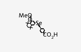 COCOc1cc([Se]C#Cc2ccc(C(=O)O)cc2)cc2c1C(C)(C)CCC2(C)C